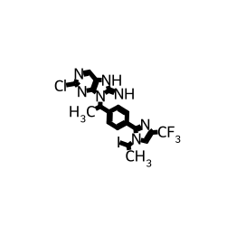 CC(I)n1cc(C(F)(F)F)nc1-c1ccc(C(C)n2c(=N)[nH]c3cnc(Cl)nc32)cc1